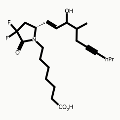 CCCC#CCC(C)C(O)C=C[C@H]1CC(F)(F)C(=O)N1CCCCCCC(=O)O